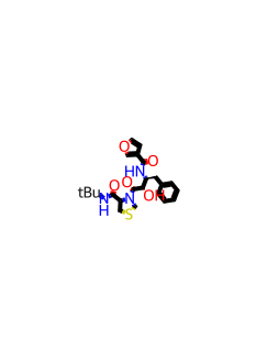 CC(C)(C)NC(=O)C1CSCN1C(=O)[C@@H](O)[C@H](Cc1ccccc1)NC(=O)c1ccoc1